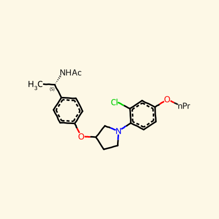 CCCOc1ccc(N2CCC(Oc3ccc([C@H](C)NC(C)=O)cc3)C2)c(Cl)c1